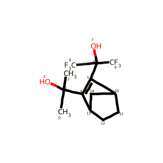 CC(C)(O)C1=C(C(O)(C(F)(F)F)C(F)(F)F)C2CCC1C2